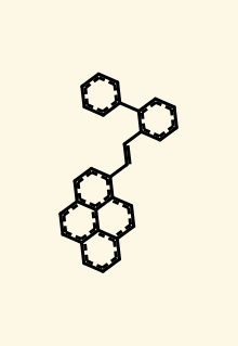 C(=Cc1ccc2ccc3cccc4ccc1c2c34)c1ccccc1-c1ccccc1